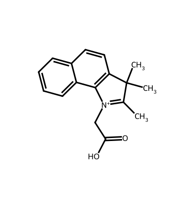 CC1=[N+](CC(=O)O)c2c(ccc3ccccc23)C1(C)C